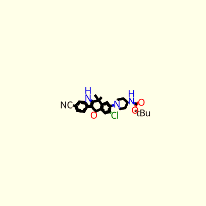 CC(C)(C)OC(=O)NC1CCN(c2cc3c(cc2Cl)C(=O)c2c([nH]c4cc(C#N)ccc24)C3(C)C)CC1